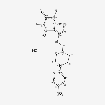 Cl.Cn1c(=O)c2c(ncn2CCN2CCN(c3ccc([N+](=O)[O-])cc3)CC2)n(C)c1=O